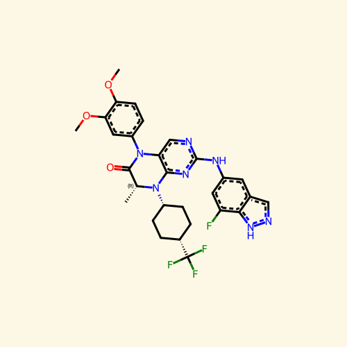 COc1ccc(N2C(=O)[C@@H](C)N([C@H]3CC[C@@H](C(F)(F)F)CC3)c3nc(Nc4cc(F)c5[nH]ncc5c4)ncc32)cc1OC